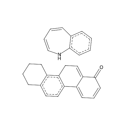 C1=CNc2ccccc2C=C1.O=C1C=CC=C2C1=CCc1c2ccc2c1CCCC2